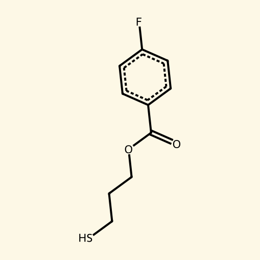 O=C(OCCCS)c1ccc(F)cc1